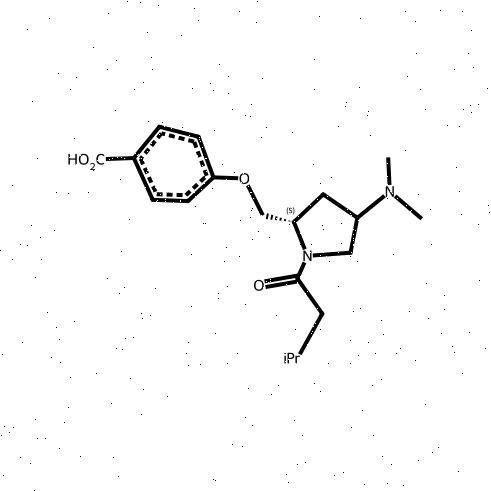 CC(C)CC(=O)N1CC(N(C)C)C[C@H]1COc1ccc(C(=O)O)cc1